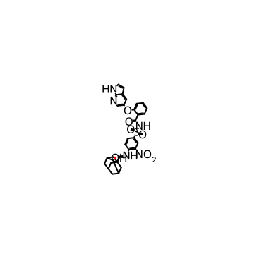 O=C(NS(=O)(=O)c1ccc(NCC23CC4CC(C2)C(O)C(C4)C3)c([N+](=O)[O-])c1)c1ccccc1Oc1cnc2[nH]ccc2c1